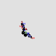 COc1nc(-c2cccc(-c3cccc(-c4nnc5n4CCN(CCO)C5)c3Cl)c2Cl)ccc1CN(CC1CCC(=O)N1)C(=O)O